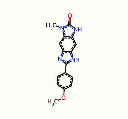 COc1ccc(-c2nc3cc4c(cc3[nH]2)[nH]c(=O)n4C)cc1